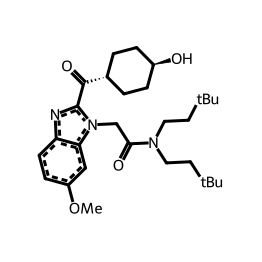 COc1ccc2nc(C(=O)[C@H]3CC[C@H](O)CC3)n(CC(=O)N(CCC(C)(C)C)CCC(C)(C)C)c2c1